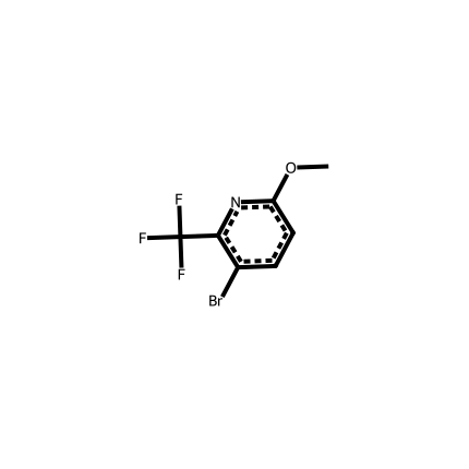 COc1ccc(Br)c(C(F)(F)F)n1